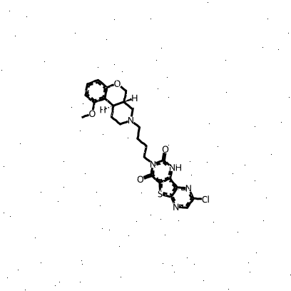 COc1cccc2c1[C@@H]1CCN(CCCCn3c(=O)[nH]c4c(sc5ncc(Cl)nc54)c3=O)C[C@H]1CO2